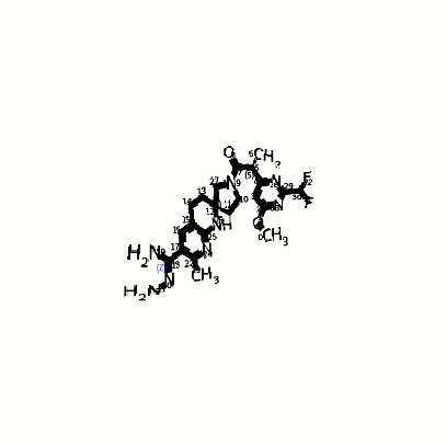 COc1cc([C@H](C)C(=O)N2CC[C@@]3(CCc4cc(/C(N)=N/N)c(C)nc4N3)C2)nc(C(F)F)n1